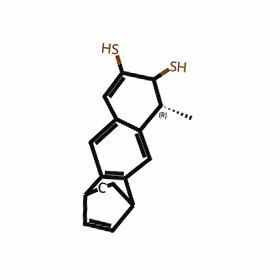 C[C@@H]1c2cc3c(cc2C=C(S)C1S)C1C=CC3CC1